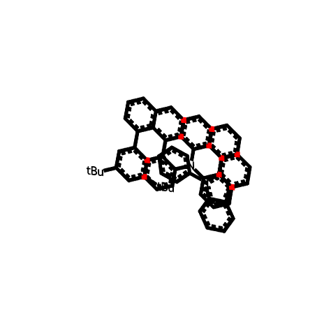 CC(C)(C)c1cc(-c2cccc3cccc(-c4ccccc4N(c4ccccc4-c4ccccc4)c4ccccc4-c4cccc5c6ccccc6n(-c6ccccc6)c45)c23)cc(C(C)(C)C)c1